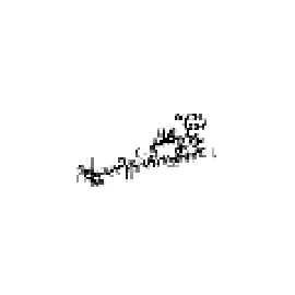 C/C(Br)=C\[C@@H](O)Cc1nc(C(C)C[C@H](CC(=O)OC(C)C/C(C)=C/C=C\C=O)NCC(=O)NCCOCCOCCNC(=O)CCCC[C@@H]2SCC3NC(=O)NC32)cs1